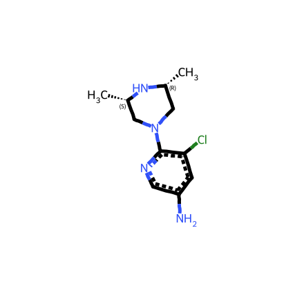 C[C@@H]1CN(c2ncc(N)cc2Cl)C[C@H](C)N1